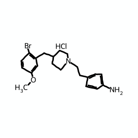 COc1ccc(Br)c(CC2CCN(CCc3ccc(N)cc3)CC2)c1.Cl